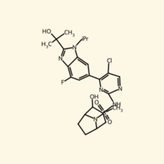 CC(C)n1c(C(C)(C)O)nc2c(F)cc(-c3nc(NC4CC5CCC(C4O)N5S(C)(=O)=O)ncc3Cl)cc21